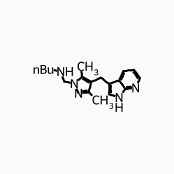 CCCCNCn1nc(C)c(Cc2c[nH]c3ncccc23)c1C